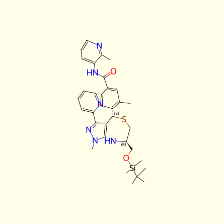 Cc1cc(C(=O)Nc2cccnc2C)ccc1[C@@H]1SC[C@@H](CO[Si](C)(C)C(C)(C)C)Nc2c1c(-c1ccccn1)nn2C